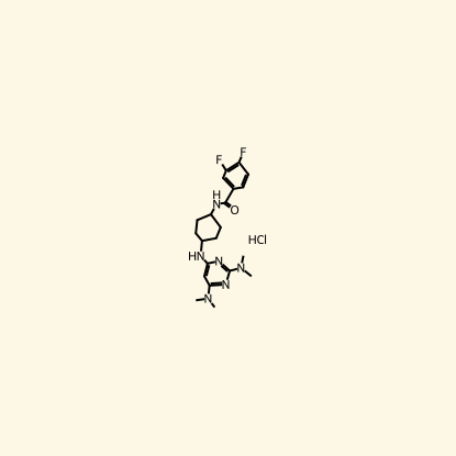 CN(C)c1cc(NC2CCC(NC(=O)c3ccc(F)c(F)c3)CC2)nc(N(C)C)n1.Cl